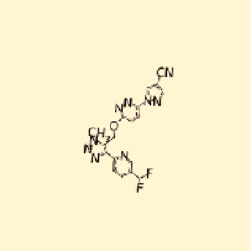 Cn1nnc(-c2ccc(C(F)F)cn2)c1COc1ccc(-n2cc(C#N)cn2)nn1